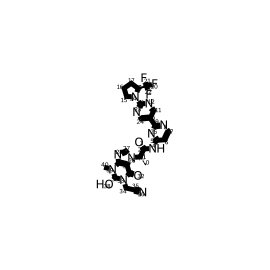 C[C@@H](C(=O)Nc1ccnc(-c2cnc(N3CCC[C@H]3C(F)(F)F)nc2)n1)n1cnc2c1C(=O)N(CC#N)C(O)N2C